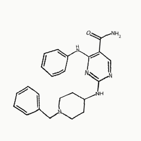 NC(=O)c1cnc(NC2CCN(Cc3ccccc3)CC2)nc1Nc1ccccc1